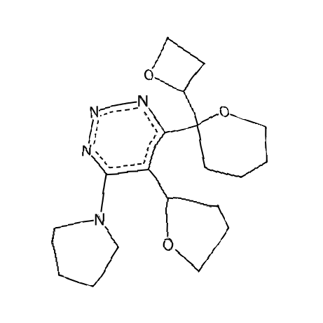 C1CCC(c2nnnc(N3CCCC3)c2C2CCCO2)(C2CCO2)OC1